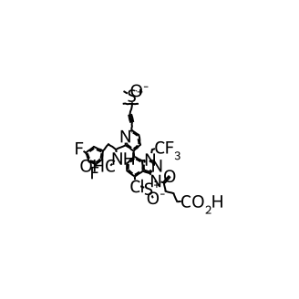 C[S+]([O-])N(C(=O)CCCC(=O)O)c1nn(CC(F)(F)F)c2c(-c3ccc(C#CC(C)(C)[S+](C)[O-])nc3C(Cc3cc(F)cc(F)c3)NC=O)ccc(Cl)c12